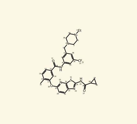 CCN1CCN(Cc2cc(NC(=O)c3ccc(C)c(Oc4ccc5nc(NC(=O)C6CC6)sc5n4)c3)cc(C(F)(F)F)c2)CC1